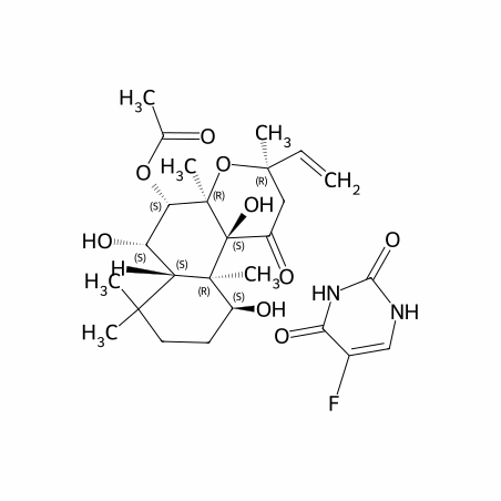 C=C[C@@]1(C)CC(=O)[C@]2(O)[C@@]3(C)[C@@H](O)CCC(C)(C)[C@@H]3[C@H](O)[C@H](OC(C)=O)[C@@]2(C)O1.O=c1[nH]cc(F)c(=O)[nH]1